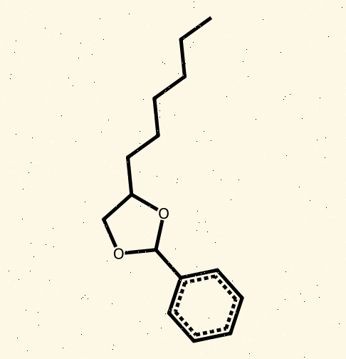 CCCCCCC1COC(c2ccccc2)O1